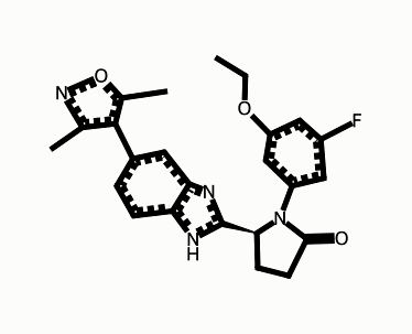 CCOc1cc(F)cc(N2C(=O)CC[C@H]2c2nc3cc(-c4c(C)noc4C)ccc3[nH]2)c1